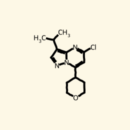 CC(C)c1cnn2c(C3CCOCC3)cc(Cl)nc12